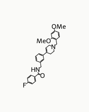 COc1ccc(CN2CC=C(c3cccc(CNC(=O)c4ccc(F)cc4)c3)CC2)c(OC)c1